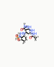 Cc1ccc(NC2=CC(NC(=O)C3CC3)Nc3[nH]n(C)c(=O)c32)c(N(C)S(C)(=O)=O)c1